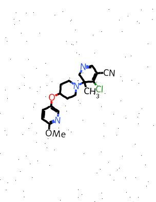 COc1ccc(OC2CCN(C3(C)CN=CC(C#N)=C3Cl)CC2)cn1